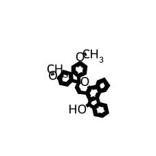 COc1ccc(C2(c3ccc(OC)cc3)C=Cc3c4c(c5ccccc5c3O2)-c2ccccc2C4O)cc1